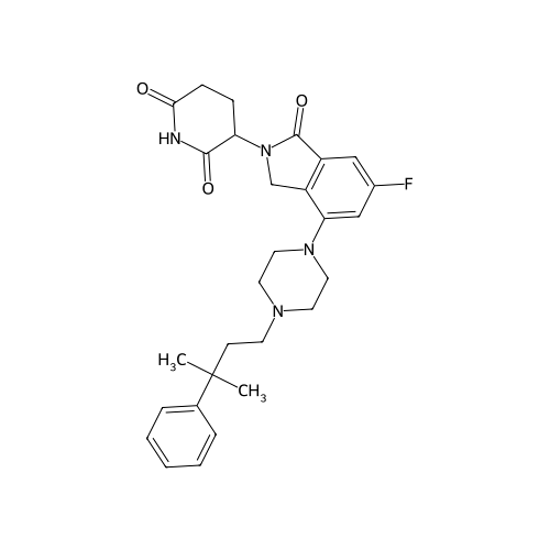 CC(C)(CCN1CCN(c2cc(F)cc3c2CN(C2CCC(=O)NC2=O)C3=O)CC1)c1ccccc1